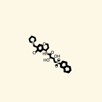 O=C(N[C@@H]1CCOc2cc(CN3CCCCC3)c(Cl)cc21)[C@H](O)[C@H](O)CS(=O)(=O)c1ccc2ccccc2c1